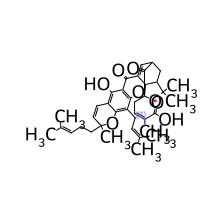 CC(C)=CCCC1(C)C=Cc2c(O)c3c(c(CC=C(C)C)c2O1)OC12C(=CC4CC1C(C)(C)OC2(C/C=C(/C)C(=O)O)C4=O)C3=O